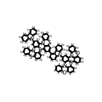 c1ccc2c(c1)Oc1cccc3c1N2c1cc(-n2c4ccccc4c4c(-c5cc6c7c(c5)B5c8cccc9c8N(c8ccccc8S9)c8cc(-n9c%10ccccc%10c%10ccccc%109)cc(c85)N7c5ccccc5S6)cccc42)cc2c1B3c1cccc3c1N2c1ccccc1O3